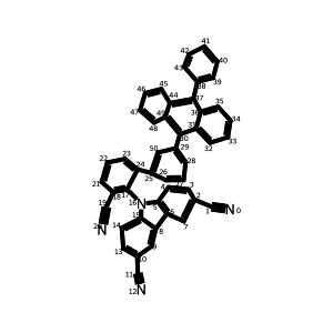 N#Cc1ccc2c(c1)c1cc(C#N)ccc1n2-c1c(C#N)cccc1-c1cccc(-c2c3ccccc3c(-c3ccccc3)c3ccccc23)c1